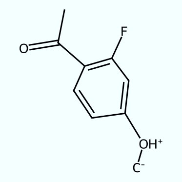 [CH2-][OH+]c1ccc(C(C)=O)c(F)c1